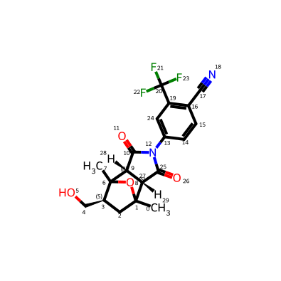 CC12C[C@@H](CO)C(C)(O1)[C@@H]1C(=O)N(c3ccc(C#N)c(C(F)(F)F)c3)C(=O)[C@@H]12